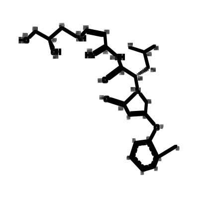 Cc1ccccc1OC1=CC(=O)N([C@@H](CC(C)C)C(=O)NC(=N)/C=C\NC[C@@H](O)CO)C1